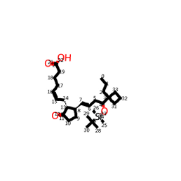 CCCC1(C(C/C=C/[C@H]2CCC(=O)[C@@H]2C/C=C\CCCC(=O)O)O[Si](C)(C)C(C)(C)C)CCC1